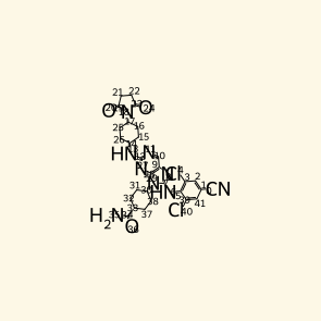 N#Cc1cc(Cl)c(Nc2nc3cnc(NC4CCC(N5C(=O)CCC5=O)CC4)nc3n2[C@H]2CC[C@H](C(N)=O)CC2)c(Cl)c1